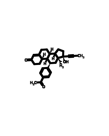 CC#C[C@]1(O)CC[C@H]2[C@@H]3CCC4=CC(=O)CC[C@@H]4[C@H]3[C@@H](c3ccc(C(C)=O)cc3)C[C@@]21C